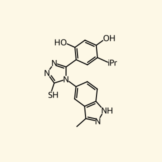 Cc1n[nH]c2ccc(-n3c(S)nnc3-c3cc(C(C)C)c(O)cc3O)cc12